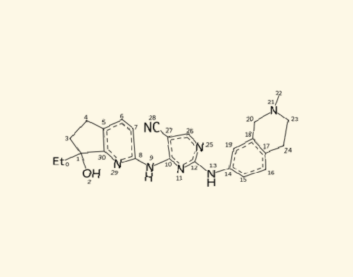 CCC1(O)CCc2ccc(Nc3nc(Nc4ccc5c(c4)CN(C)CC5)ncc3C#N)nc21